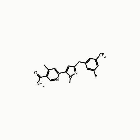 Cc1cc(-c2cc(Cc3cc(F)cc(C(F)(F)F)c3)nn2C)ncc1C(N)=O